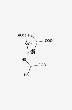 CCCCCCC[CH2][Sn+2][CH2]CCCCCCC.O=C([O-])C(S)S.O=C([O-])C(S)S